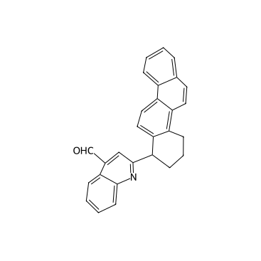 O=Cc1cc(C2CCCc3c2ccc2c3ccc3ccccc32)nc2ccccc12